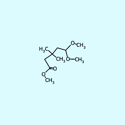 COC(=O)CC(C)(C)CC(OC)OC